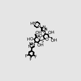 OCC1O[C@@H](S[C@@H]2O[C@H](CO)C(O)C(n3cc(N4CCNCC4)nn3)[C@H]2O)C(O)C(n2cc(-c3cc(F)c(F)c(F)c3)nn2)[C@H]1O